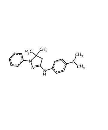 CN(C)c1ccc(NC2=NN(c3ccccc3)C(C)(C)C2)cc1